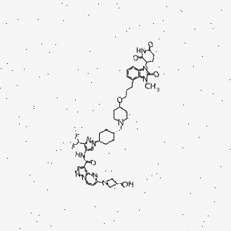 Cn1c(=O)n(C2CCC(=O)NC2=O)c2cccc(CCCOC3CCN(C[C@H]4CC[C@H](n5cc(NC(=O)c6cnn7ccc(N8CC(O)C8)nc67)c(C(F)F)n5)CC4)CC3)c21